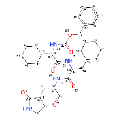 O=C[C@H](C[C@@H]1CCNC1=O)NC(=O)[C@H](CC1CCCCC1)NC(=O)[C@@H](NC(=O)OCc1ccccc1)C1CCCCC1